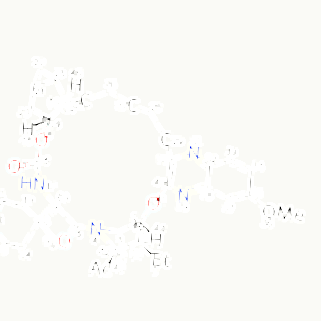 CC[C@@H]1[C@@H]2CN(C(=O)[C@H](C3(C)CCOCC3)NC(=O)O[C@@H]3CC4CC4[C@H]3CCCCCc3nc4ccc(OC)cc4nc3O2)[C@@H]1C(C)=O